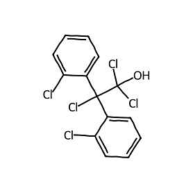 OC(Cl)(Cl)C(Cl)(c1ccccc1Cl)c1ccccc1Cl